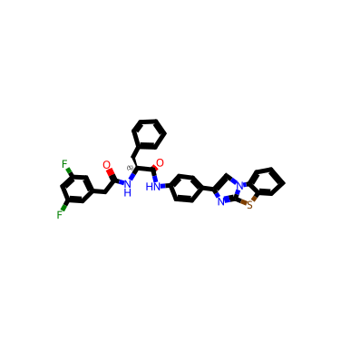 O=C(Cc1cc(F)cc(F)c1)N[C@@H](Cc1ccccc1)C(=O)Nc1ccc(-c2cn3c(n2)sc2ccccc23)cc1